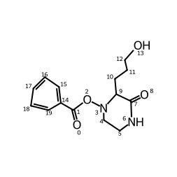 O=C(ON1CCNC(=O)C1CCCO)c1ccccc1